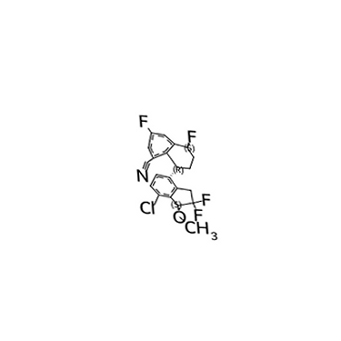 CO[C@H]1c2c(Cl)ccc([C@H]3CC[C@H](F)c4cc(F)cc(C#N)c43)c2CC1(F)F